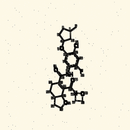 CC1CCC(Oc2cc(NC(=O)C3=C(C(=O)N4CCO4)C4OCCC4CC3)c(F)cc2Cl)C1